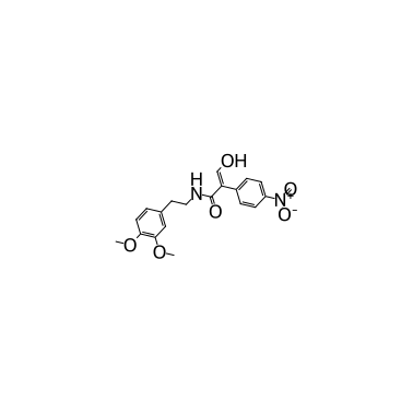 COc1ccc(CCNC(=O)C(=CO)c2ccc([N+](=O)[O-])cc2)cc1OC